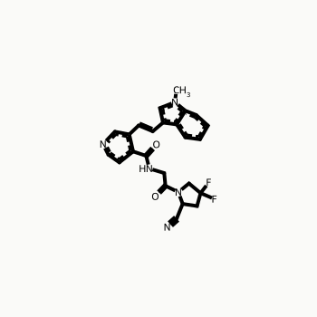 Cn1cc(C=Cc2cnccc2C(=O)NCC(=O)N2CC(F)(F)CC2C#N)c2ccccc21